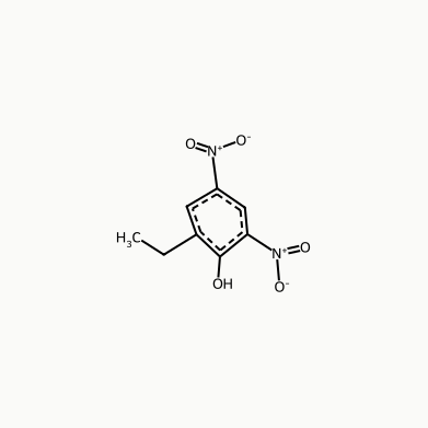 CCc1cc([N+](=O)[O-])cc([N+](=O)[O-])c1O